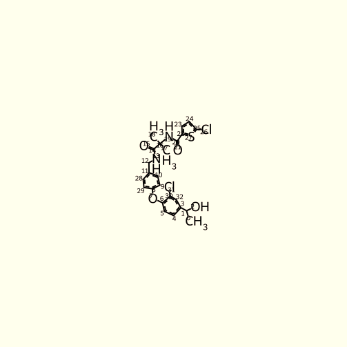 CC(O)c1ccc(Oc2ccc(CNC(=O)C(C)(C)NC(=O)c3ccc(Cl)s3)cc2)c(Cl)c1